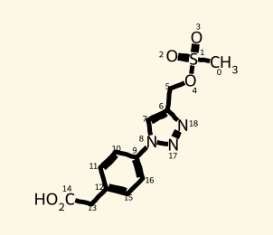 CS(=O)(=O)OCc1cn(-c2ccc(CC(=O)O)cc2)nn1